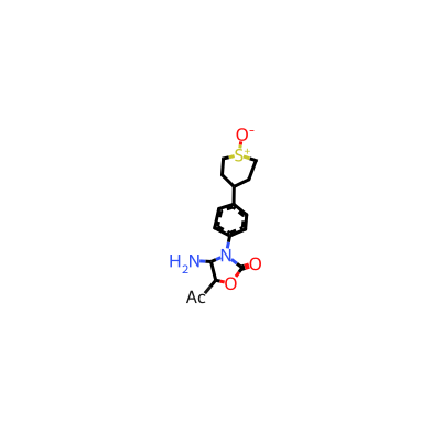 CC(=O)C1OC(=O)N(c2ccc(C3CC[S+]([O-])CC3)cc2)C1N